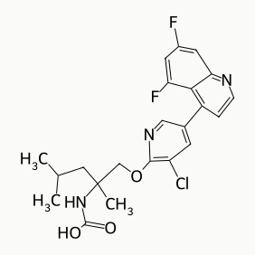 CC(C)CC(C)(COc1ncc(-c2ccnc3cc(F)cc(F)c23)cc1Cl)NC(=O)O